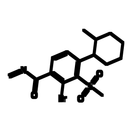 C=NC(=O)c1ccc(C2CCCCC2C)c(S(C)(=O)=O)c1Br